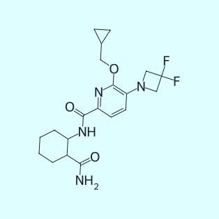 NC(=O)C1CCCCC1NC(=O)c1ccc(N2CC(F)(F)C2)c(OCC2CC2)n1